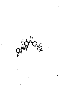 Cc1c(NC2CCN(C(=O)OC(C)(C)C)CC2)cnc(SNc2cccc(F)n2)c1F